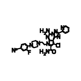 N#Cc1ccc(N2CCN(CCn3c(C(N)=O)c(Cl)c4c3nc(N)n3nc(-c5ccccn5)nc43)CC2)c(F)c1